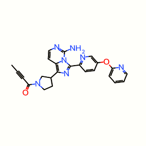 CC#CC(=O)N1CCC(c2nc(-c3ccc(Oc4ccccn4)cn3)n3c(N)nccc23)C1